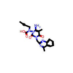 CC#CCN(C(=O)O)n1c(N)c(C)c(=O)n(Cc2nc(C)c3ccccc3n2)c1=O